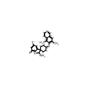 CCC(N)C1(c2cc(F)cc(F)c2)CCC(Oc2c(C)cc3cnccc3c2C)CC1